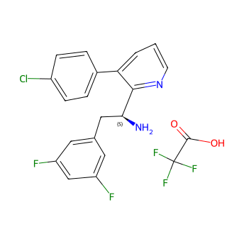 N[C@@H](Cc1cc(F)cc(F)c1)c1ncccc1-c1ccc(Cl)cc1.O=C(O)C(F)(F)F